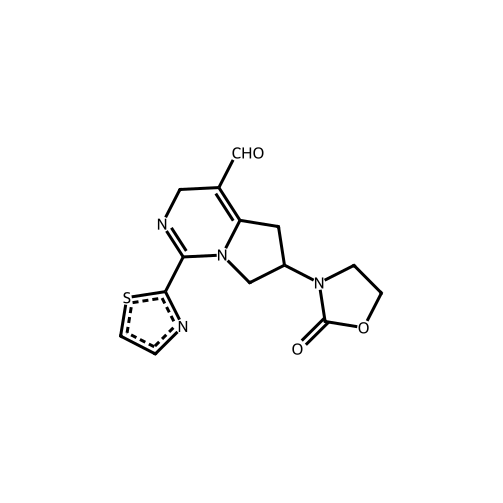 O=CC1=C2CC(N3CCOC3=O)CN2C(c2nccs2)=NC1